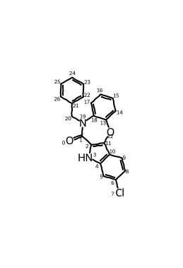 O=C1c2[nH]c3cc(Cl)ccc3c2Oc2ccccc2N1Cc1ccccc1